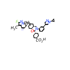 C=C(/C=C\c1c(C)c(F)nn1C)[C@H]1CC[C@H](CN(c2cccc(-c3cnn(C4CC4)c3)c2)C(=O)[C@H]2CC[C@H](C(=O)O)CC2)CC1